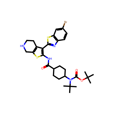 CC(C)(C)OC(=O)N(C1CCC(C(=O)Nc2sc3c(c2-c2nc4ccc(Br)cc4s2)CCNC3)CC1)C(C)(C)C